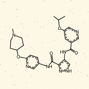 CC(C)Oc1cncc(C(=O)Nc2c[nH]nc2C(=O)Nc2ccc(OC3CCN(C)CC3)nc2)c1